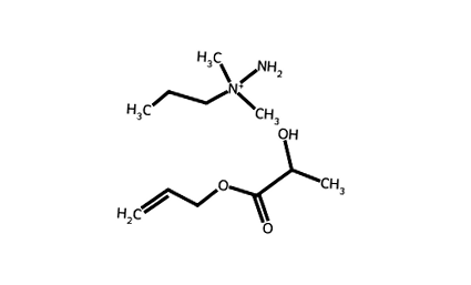 C=CCOC(=O)C(C)O.CCC[N+](C)(C)N